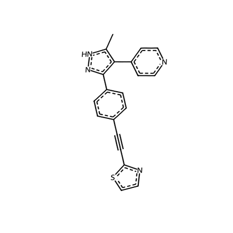 Cc1[nH]nc(-c2ccc(C#Cc3nccs3)cc2)c1-c1ccncc1